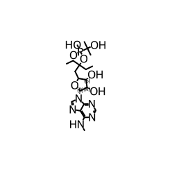 CCC(CC)(CC1O[C@@H](n2cnc3c(NC)ncnc32)[C@H](O)[C@@H]1O)OP(=O)(O)C(C)(C)O